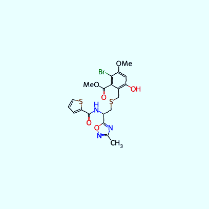 COC(=O)c1c(Br)c(OC)cc(O)c1CSCC(NC(=O)c1cccs1)c1nc(C)no1